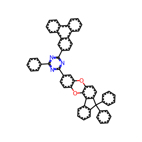 c1ccc(-c2nc(-c3ccc4c(c3)Oc3ccc5c(c3O4)-c3ccccc3C5(c3ccccc3)c3ccccc3)nc(-c3ccc4c5ccccc5c5ccccc5c4c3)n2)cc1